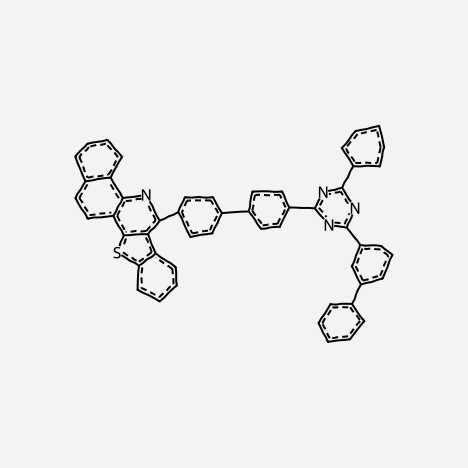 c1ccc(-c2cccc(-c3nc(-c4ccccc4)nc(-c4ccc(-c5ccc(-c6nc7c8ccccc8ccc7c7sc8ccccc8c67)cc5)cc4)n3)c2)cc1